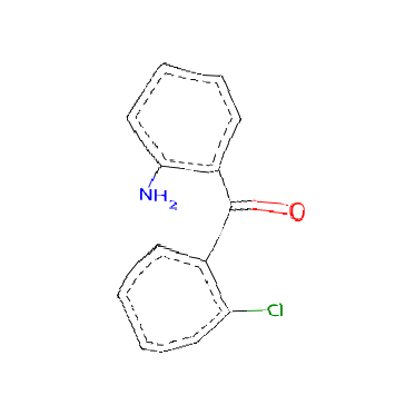 Nc1ccccc1C(=O)c1ccccc1Cl